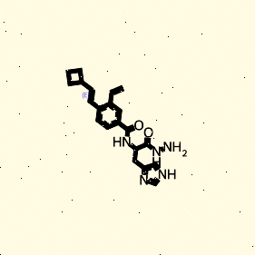 C=Cc1cc(C(=O)NC(Cc2c[nH]cn2)C(=O)NN)ccc1/C=C/C1CCC1